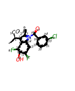 Cc1c([C@@H](C)C(=O)O)c2c(F)c(O)c(F)cc2n1C(=O)c1cccc(Cl)c1